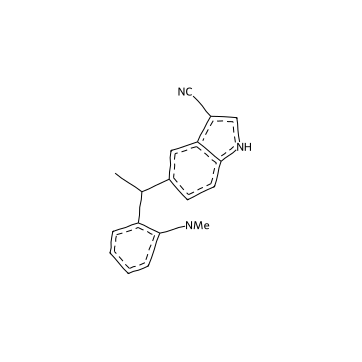 CNc1ccccc1C(C)c1ccc2[nH]cc(C#N)c2c1